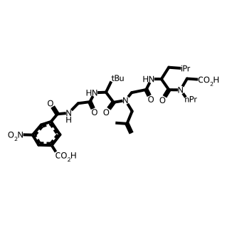 C=C(C)CN(CC(=O)NC(CC(C)C)C(=O)N(CCC)CC(=O)O)C(=O)C(NC(=O)CNC(=O)c1cc(C(=O)O)cc([N+](=O)[O-])c1)C(C)(C)C